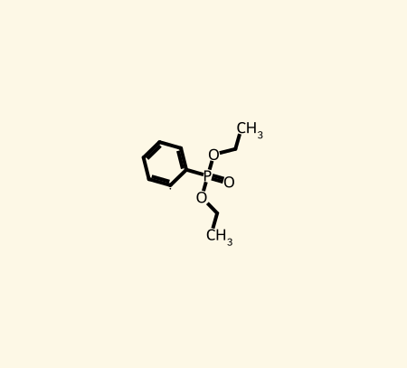 CCOP(=O)(OCC)c1[c]cccc1